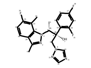 Cc1nn([C@H](C)[C@](O)(Cn2cncn2)c2ccc(F)cc2F)c2c(C)c(F)ccc12